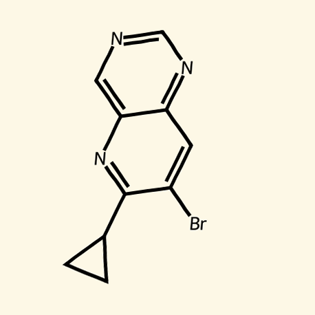 Brc1cc2ncncc2nc1C1CC1